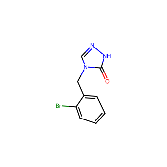 O=c1[nH]ncn1Cc1ccccc1Br